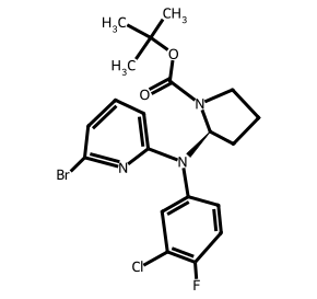 CC(C)(C)OC(=O)N1CCC[C@H]1N(c1ccc(F)c(Cl)c1)c1cccc(Br)n1